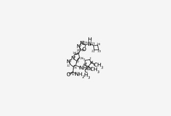 C[C@@H]1CC[C@@H](Nc2c(C(N)=O)cnn3cc(-c4nnc(NC5CCC5)o4)cc23)C1(C)C